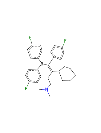 CN(C)CC/C(=C(\B(c1ccc(F)cc1)c1ccc(F)cc1)c1ccc(F)cc1)C1CCCCC1